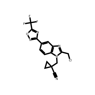 N#CC1(Cn2c(CCl)nc3cc(-c4noc(C(F)(F)F)n4)ccc32)CC1